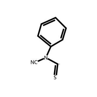 N#CN([C]=S)c1ccccc1